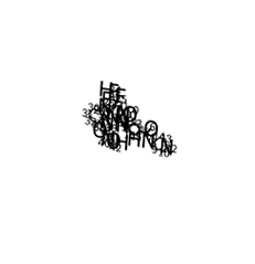 COc1cc(C(=O)NC2CCN(C)CC2)ccc1Nc1ncc(C(F)(F)F)c(N[C@@H]2CCCC[C@H]2NCC(=O)N(C)OC)n1